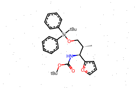 C[C@@H](CO[Si](c1ccccc1)(c1ccccc1)C(C)(C)C)[C@H](NC(=O)OC(C)(C)C)c1ccco1